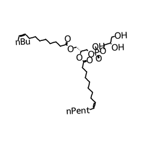 CCCC/C=C\CCCCCCCC(=O)OC[C@H](COP(=O)(O)OC[C@@H](O)CO)OC(=O)CCCCCCC/C=C\CCCCC